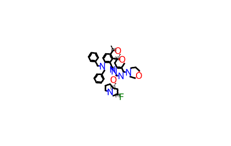 C[C@H]1OC[C@]2(Cc3nc(OC[C@@]45CCCN4C[C@H](F)C5)nc(N4CCCOCC4)c3CO2)c2c1ccc(N(Cc1ccccc1)Cc1ccccc1)c2C#N